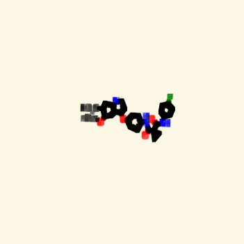 CCCCCCCCCCOc1cc2c(Oc3ccc(NC(=O)C4(C(=O)Nc5ccc(F)cc5)CC4)cc3)ccnc2cc1C(=O)O